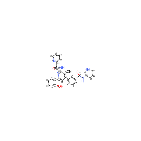 N#Cc1c(-c2cccc(C(=O)NC3CCCNC3)c2)cc(-c2ccccc2O)nc1NC(=O)c1ccccn1